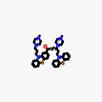 CCCC(=O)c1ccc2c(c1)N(CCCN1CCN(C)CC1)c1ccccc1S2.CN1CCN(CCCN2c3ccccc3Sc3ccccc32)CC1